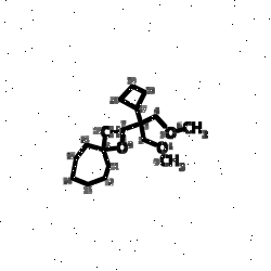 COCC(COC)(COC1(C)CCCCCC1)C1CCC1